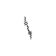 CCCCC[C@H]1CC[C@H](C#C/C=C/C#Cc2ccc(CCCC)cc2)CC1